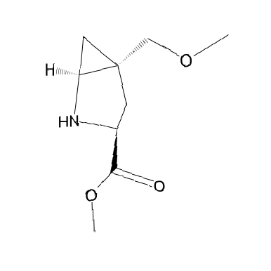 COC[C@]12C[C@@H](C(=O)OC)N[C@H]1C2